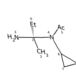 CC[C@](C)(N)N(C(C)=O)C1CC1